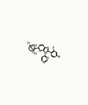 Fc1ccc(-c2nc3ccc(N4C[C@H]5CC[C@@H]4CN5)nc3n2-c2ccncn2)c(F)c1